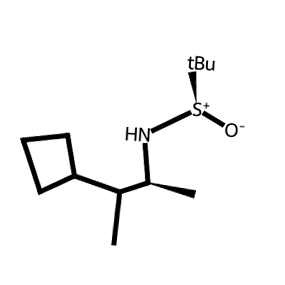 CC(C1CCC1)[C@H](C)N[S@+]([O-])C(C)(C)C